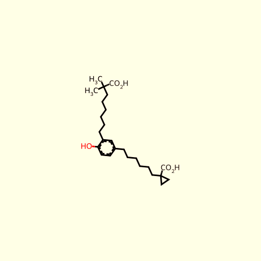 CC(C)(CCCCCCc1cc(CCCCCCC2(C(=O)O)CC2)ccc1O)C(=O)O